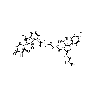 CCNCSN1CC(c2ccc(F)cc2)C(C(N)=O)C1CCCCCCNc1cccc2c1C(=O)N(C1CCC(=O)NC1=O)C2=O